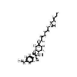 CCCCCNCCCCCCOC1CCC(NS(=O)(=O)c2ccc(CBr)cc2)CC1